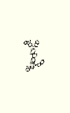 c1ccc2cc(N(c3ccc4c(c3)oc3ccccc34)c3cc4oc5nc(N(c6ccc7ccccc7c6)c6ccc7c(c6)oc6ccccc67)nnc5c4cn3)ccc2c1